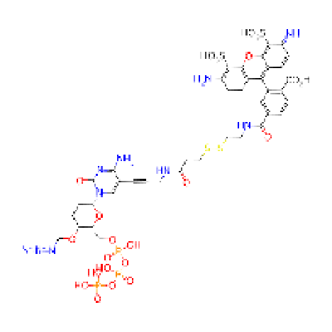 [N-]=[N+]=NCOC1CC[C@H](n2cc(C#CCNC(=O)CCSSCCNC(=O)c3ccc(C(=O)O)c(-c4c5ccc(=N)c(S(=O)(=O)O)c-5oc5c(S(=O)(=O)O)c(N)ccc45)c3)c(N)nc2=O)O[C@@H]1COP(=O)(O)OP(=O)(O)OP(=O)(O)O